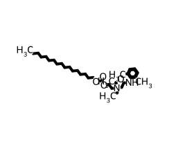 CCCCCCCCCCCCCCCCCOC(=O)OCC[N+](CC)(CC)CC(=O)Nc1c(C)cccc1C